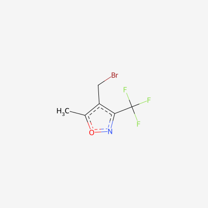 Cc1onc(C(F)(F)F)c1CBr